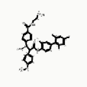 CCC[C@@H](c1ccc(C(=O)NCCC(=O)O)cc1)C(C(=O)Nc1ccc(-c2c(C)cc(C)cc2C)cc1F)c1ccc(OC(F)(F)F)cc1